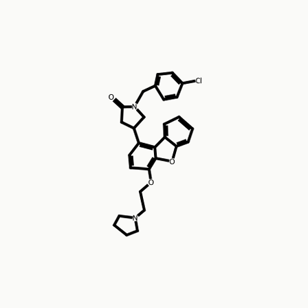 O=C1CC(c2ccc(OCCN3CCCC3)c3oc4ccccc4c23)CN1Cc1ccc(Cl)cc1